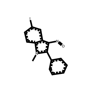 Cn1c(-c2ccccc2)c(N=O)c2cc(I)ccc21